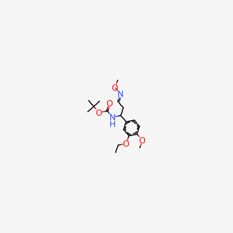 CCOc1cc(C(CC=NOC)NC(=O)OC(C)(C)C)ccc1OC